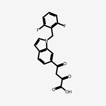 O=C(O)C(=O)CC(=O)c1ccc2ccn(Cc3c(F)cccc3F)c2c1